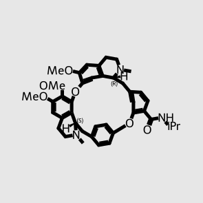 COc1cc2c3cc1Oc1c(OC)c(OC)cc4c1[C@H](Cc1ccc(cc1)Oc1cc(ccc1C(=O)NC(C)C)C[C@H]3N(C)CC2)N(C)CC4